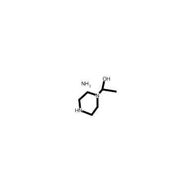 CC(O)N1CCNCC1.N